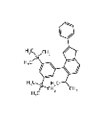 CC(C)c1ccc2c(c1-c1cc([Si](C)(C)C)cc([Si](C)(C)C)c1)C=C(c1ccccc1)[CH]2